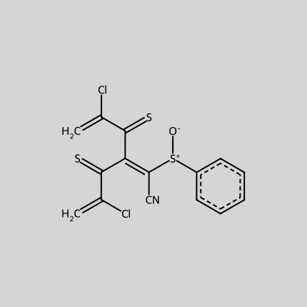 C=C(Cl)C(=S)C(C(=S)C(=C)Cl)=C(C#N)[S+]([O-])c1ccccc1